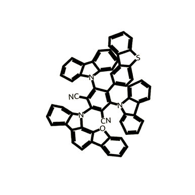 N#Cc1c(-n2c3ccccc3c3ccccc32)c(-c2ccc3sc4ccccc4c3c2)c(-n2c3ccccc3c3ccccc32)c(C#N)c1-n1c2ccccc2c2ccc3c4ccccc4oc3c21